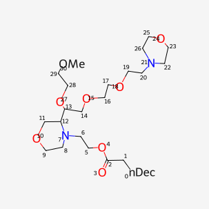 CCCCCCCCCCCC(=O)OCCN1CCOCC1C(COCCOCCN1CCOCC1)OCCOC